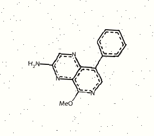 COc1ncc(-c2ccccc2)c2ncc(N)nc12